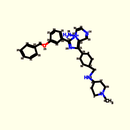 CN1CCC(NCC2CCC(C3=C4C=NC=C[N+]4(N)C(c4cccc(OCc5ccccc5)c4)=N3)CC2)CC1